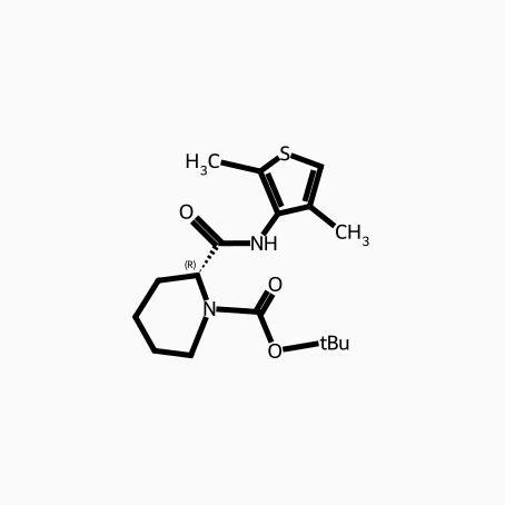 Cc1csc(C)c1NC(=O)[C@H]1CCCCN1C(=O)OC(C)(C)C